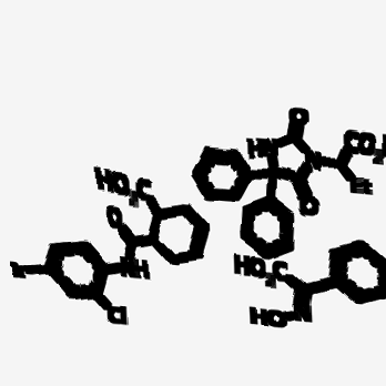 CCC(C(=O)O)N1C(=O)NC(c2ccccc2)(c2ccccc2)C1=O.O=C(O)C(=NO)c1ccccc1.O=C(O)C1CC=CCC1C(=O)Nc1ccc(Br)cc1Cl